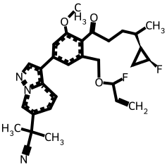 C=CC(F)OCc1cc(-c2cnn3cc(C(C)(C)C#N)ccc23)cc(OC)c1C(=O)CCC(C)[C@@H]1C[C@@H]1F